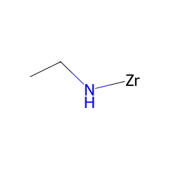 CC[NH][Zr]